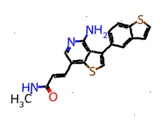 CNC(=O)C=Cc1cnc(N)c2c(-c3ccc4sccc4c3)csc12